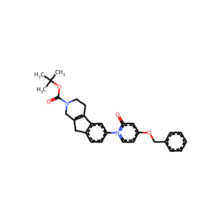 CC(C)(C)OC(=O)N1CCC2=C(Cc3ccc(-n4ccc(OCc5ccccc5)cc4=O)cc32)C1